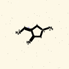 N=C1CN(P)C/C1=C/N